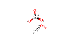 O.[K+].[K+].[O]=[Sn]([O-])[O-]